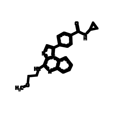 COCCNc1nc2ccccc2n2c(-c3ccc(C(=O)NC4CC4)cc3)cnc12